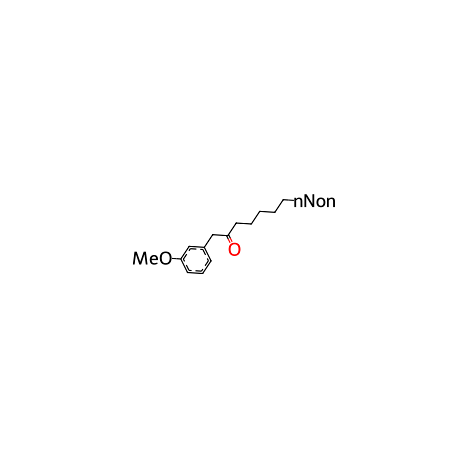 CCCCCCCCCCCCCCC(=O)Cc1cccc(OC)c1